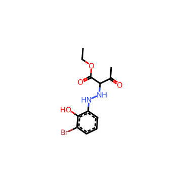 CCOC(=O)C(NNc1cccc(Br)c1O)C(C)=O